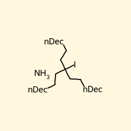 CCCCCCCCCCCCC(I)(CCCCCCCCCCCC)CCCCCCCCCCCC.N